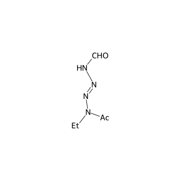 CCN(N=NNC=O)C(C)=O